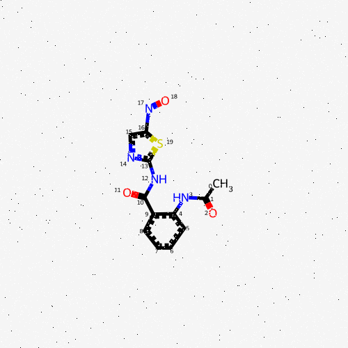 CC(=O)Nc1ccccc1C(=O)Nc1ncc(N=O)s1